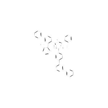 c1ccc(C2=NC(c3ccc(-c4ccccc4)c4oc5ccccc5c34)=NC(c3ccc(-c4cccc(-c5ccccc5)c4)cc3)N2)cc1